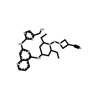 CCC1CC(Nc2nc(Nc3ncc(CO)s3)cc3ncccc23)CC(CC)N1SN1CC(C#N)C1